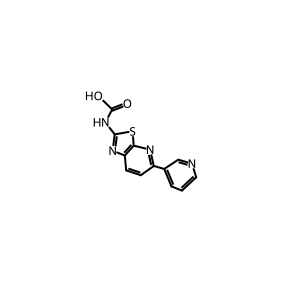 O=C(O)Nc1nc2ccc(-c3cccnc3)nc2s1